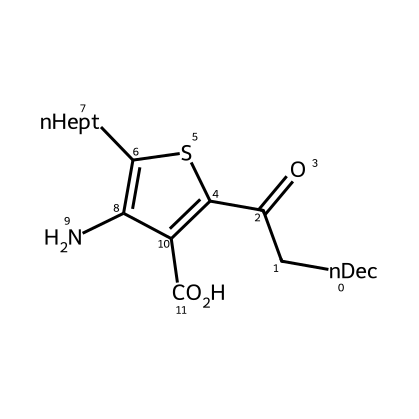 CCCCCCCCCCCC(=O)c1sc(CCCCCCC)c(N)c1C(=O)O